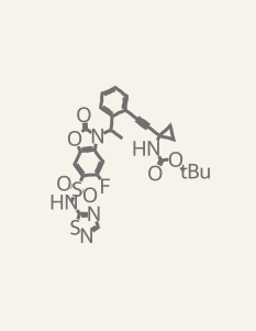 CC(c1ccccc1C#CC1(NC(=O)OC(C)(C)C)CC1)n1c(=O)oc2cc(S(=O)(=O)Nc3ncns3)c(F)cc21